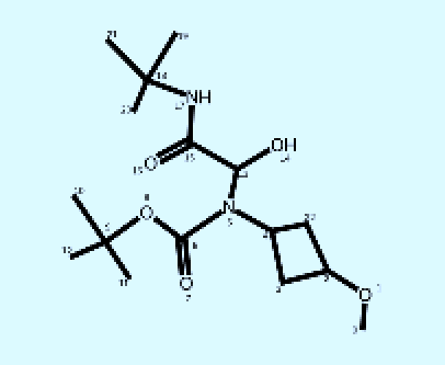 COC1CC(N(C(=O)OC(C)(C)C)C(O)C(=O)NC(C)(C)C)C1